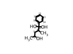 CC(O)CC(C)C(O)(O)c1ccccc1